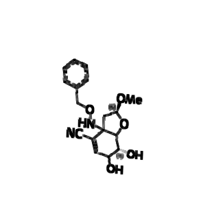 CO[C@@H]1CC2(NOCc3ccccc3)C(C#N)=CC(O)[C@@H](O)C2O1